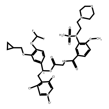 COc1ccc(C(=O)NCC(=O)O[C@@H](Cc2c(Cl)c[n+]([O-])cc2Cl)c2ccc(OC(F)F)c(OCC3CC3)c2)cc1N(CCN1CCOCC1)S(C)(=O)=O